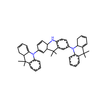 CC1(C)C2=CC=CCC2N(c2ccc3c(c2)C(C)(C)C2C=C(N4C5=CC=CCC5C(C)(C)c5ccccc54)C=CC2N3)c2ccccc21